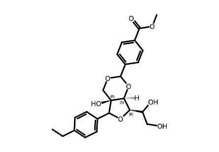 CCc1ccc(C2O[C@H](C(O)CO)[C@@H]3OC(c4ccc(C(=O)OC)cc4)OC[C@@]23O)cc1